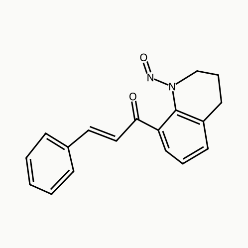 O=NN1CCCc2cccc(C(=O)C=Cc3ccccc3)c21